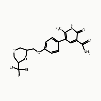 CCC(F)(CC)C1COCC(COc2ccc(-c3cc(C(N)=O)c(=O)[nH]c3C(F)(F)F)cc2)O1